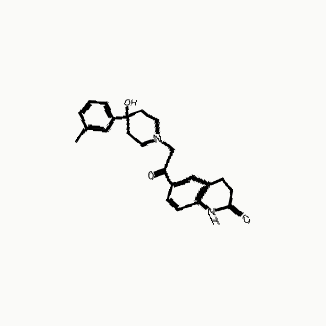 Cc1cccc(C2(O)CCN(CC(=O)c3ccc4c(c3)CCC(=O)N4)CC2)c1